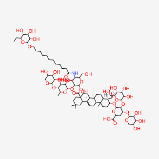 CCC1O[C@@H](OCCCCCCCCCCCC(=O)N[C@H]2C(CO)O[C@@H](OC(=O)[C@]34CCC(C)(C)CC3C3=CCC5C6(C)CC[C@H](O[C@@H]7OC(C(=O)O)C[C@H](O[C@@H]8OC[C@@H](O)[C@H](O)C8O)C7O[C@@H]7OC(CO)[C@H](O)[C@H](O)C7O)[C@](C)(C=O)[C@@H]6CC[C@]5(C)[C@]3(C)CC4O)C(O[C@@H]3OC(C)[C@H](O[C@@H]4OC[C@@H](O)C(O)C4O)C(O)C3O)C2O)C(O)C(O)[C@H]1O